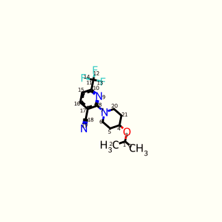 CC(C)OC1CCN(c2nc(C(F)(F)F)ccc2C#N)CC1